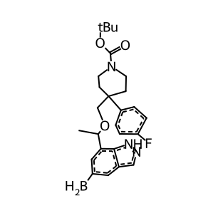 Bc1cc(C(C)OCC2(c3ccc(F)cc3)CCN(C(=O)OC(C)(C)C)CC2)c2[nH]ncc2c1